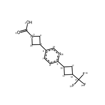 O=C(O)N1CC(c2ccc(C3CC(C(F)(F)F)C3)nc2)C1